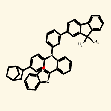 CC1(C)c2ccccc2-c2ccc(-c3cccc(N(c4ccc(C5CC6CCC5C6)cc4)c4ccccc4-c4nc5ccccc5o4)c3)cc21